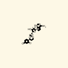 C[C@@]1(O)[C@H](O)[C@@H](COP2(=O)OCC[C@@H](c3ccc(Cl)cc3Cl)O2)O[C@H]1n1ccc2c(N)ncnc21